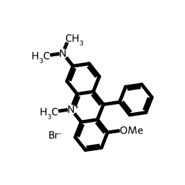 COc1cccc2c1c(-c1ccccc1)c1ccc(N(C)C)cc1[n+]2C.[Br-]